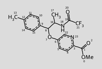 COC(=O)c1ccc(OC(c2ccc(C)cc2)C(C)NC(=O)C(F)(F)F)cn1